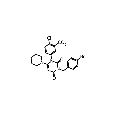 O=C(O)c1cc(-n2c(N3CCCCC3)nc(=O)n(Cc3ccc(Br)cc3)c2=O)ccc1Cl